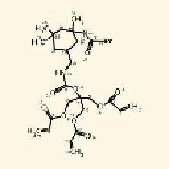 C=CC(=O)OCC(COC(=O)C=C)(COC(=O)C=C)OC(=O)NCC1CC(C)(C)CC(C)(NC(=O)C(C)C)C1